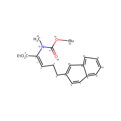 CCOC(=O)/C(=C/CCc1ccc2ccccc2c1)N(C)C(=O)OC(C)(C)C